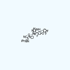 CC(C)NC(C)(C)C=C(C#N)C(=O)N1CCC[C@@H]1Cn1nc(-c2ccc(Oc3cccc(F)c3F)cc2F)c2c(N)ncnc21